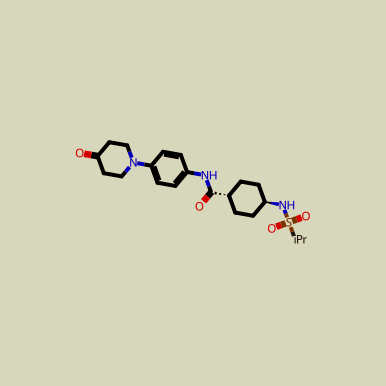 CC(C)S(=O)(=O)N[C@H]1CC[C@H](C(=O)Nc2ccc(N3CCC(=O)CC3)cc2)CC1